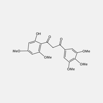 COc1cc(O)c(C(=O)CC(=O)c2cc(OC)c(OC)c(OC)c2)c(OC)c1